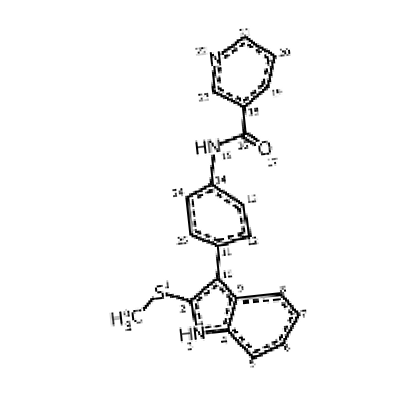 CSc1[nH]c2ccccc2c1-c1ccc(NC(=O)c2cccnc2)cc1